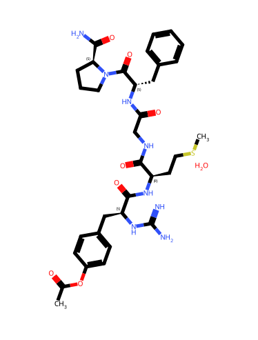 CSCC[C@@H](NC(=O)[C@H](Cc1ccc(OC(C)=O)cc1)NC(=N)N)C(=O)NCC(=O)N[C@@H](Cc1ccccc1)C(=O)N1CCC[C@H]1C(N)=O.O